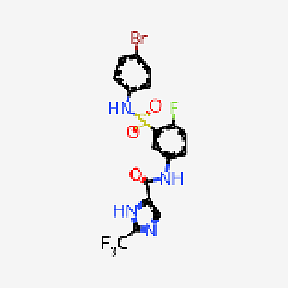 O=C(Nc1ccc(F)c(S(=O)(=O)Nc2ccc(Br)cc2)c1)c1cnc(C(F)(F)F)[nH]1